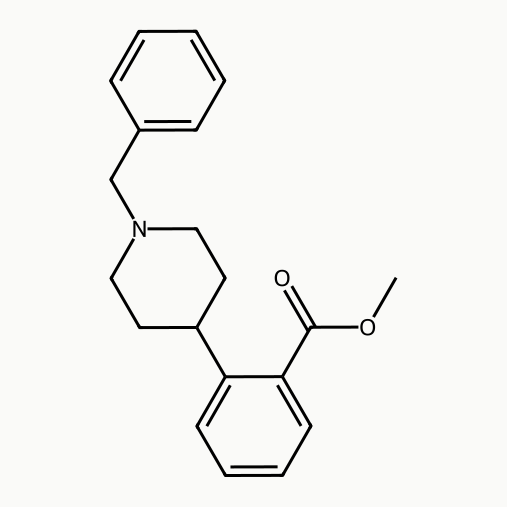 COC(=O)c1ccccc1C1CCN(Cc2ccccc2)CC1